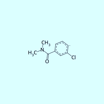 CN(C)C(=O)c1cc[c]c(Cl)c1